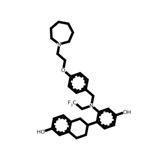 Oc1ccc2c(c1)CCC(c1ccc(O)cc1N(Cc1ccc(OCCN3CCCCCC3)cc1)CC(F)(F)F)C2